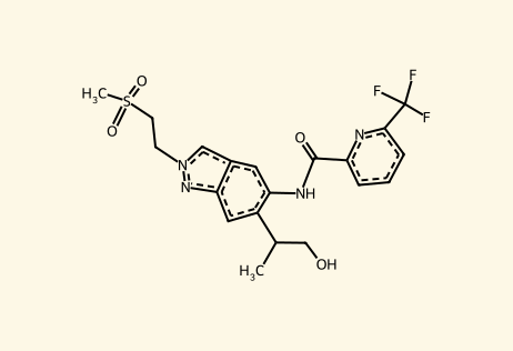 CC(CO)c1cc2nn(CCS(C)(=O)=O)cc2cc1NC(=O)c1cccc(C(F)(F)F)n1